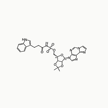 CC1(C)OC2C(O1)[C@@H](COS(=O)(=O)NC(=O)CCc1c[nH]c3ccccc13)O[C@H]2n1cnc2c1ncn1ccnc21